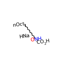 CCCCCCCCC=CCCCCCCCC(=O)NCC(=O)O.[NaH]